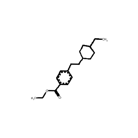 CCOC(=O)c1ccc(CCC2CCC(CC)CC2)cc1